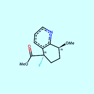 COC(=O)[C@]1(F)CC[C@H](OC)c2ncccc21